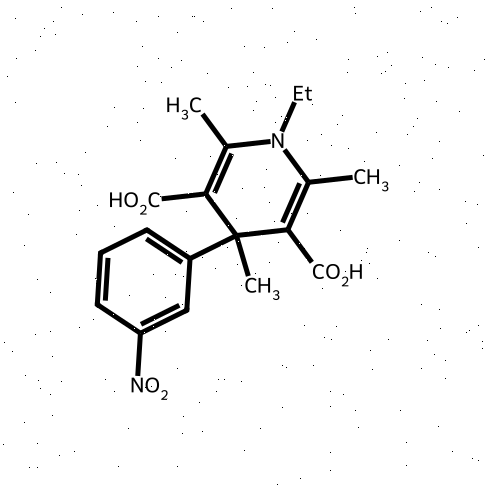 CCN1C(C)=C(C(=O)O)C(C)(c2cccc([N+](=O)[O-])c2)C(C(=O)O)=C1C